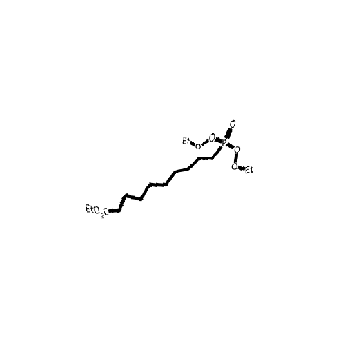 CCOOP(=O)(CCCCCCCCCC(=O)OCC)OOCC